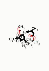 CCOC(=O)C=C(C)C#C[Se]c1cc(C(C)(C)C)cc(C(C)(C)C)c1OCOC